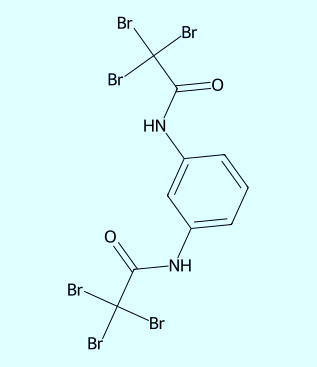 O=C(Nc1cccc(NC(=O)C(Br)(Br)Br)c1)C(Br)(Br)Br